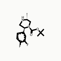 C[C@@H]1CN(C(=O)OC(C)(C)C)[C@@H](c2ccc(F)c(F)c2)CN1